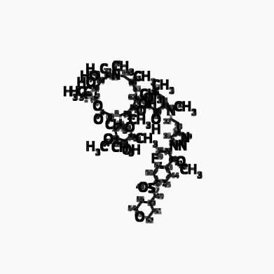 CC[C@H]1OC(=O)[C@H](C)C([C@H]2C[C@@](C)(OC)[C@@H](O)[C@H](C)O2)[C@H](C)[C@@H](O[C@@H]2O[C@H](C)C[C@H](N(C)CCc3cn([C@H](CF)[C@H](OC)c4ccc([S+]([O-])CC5CCOCC5)cc4)nn3)[C@H]2O)[C@](C)(O)C[C@@H](C)CN(C)[C@H](C)[C@@H](O)[C@]1(C)O